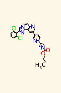 CCCCOC(=O)N1CC(c2ccc(-c3cnc4ccn5cc(-c6c(Cl)cccc6Cl)nc5c4c3)cn2)C1